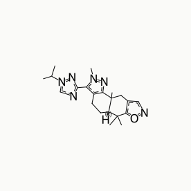 CC(C)n1cnc(-c2c3c(nn2C)C2(C)Cc4cnoc4C(C)(C)[C@@H]2CC3)n1